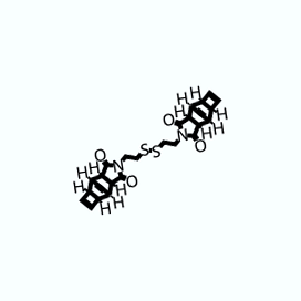 O=C1[C@@H]2[C@@H]3C=C[C@H]([C@H]4C=C[C@H]43)[C@@H]2C(=O)N1CCSSCCN1C(=O)[C@@H]2[C@@H]3C=C[C@H]([C@H]4C=C[C@H]43)[C@@H]2C1=O